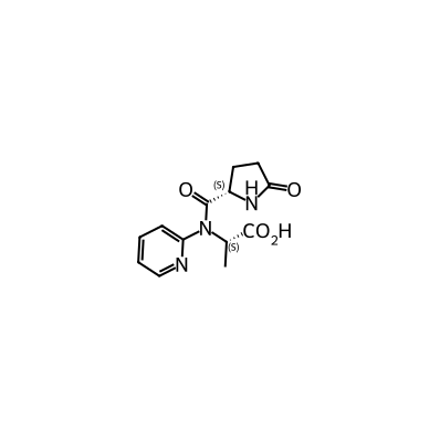 C[C@@H](C(=O)O)N(C(=O)[C@@H]1CCC(=O)N1)c1ccccn1